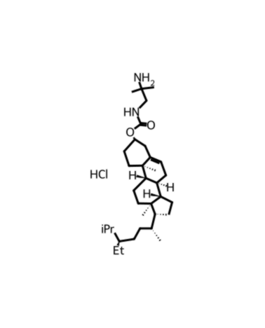 CC[C@H](CC[C@@H](C)[C@H]1CC[C@H]2[C@@H]3CC=C4C[C@@H](OC(=O)NCC(C)(C)N)CC[C@]4(C)[C@H]3CC[C@]12C)C(C)C.Cl